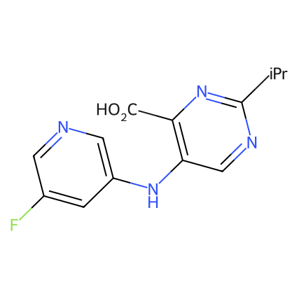 CC(C)c1ncc(Nc2cncc(F)c2)c(C(=O)O)n1